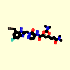 CN(C)C(=O)/C=C/CC[C@H](OC(=O)N(C)C)C(=O)Nc1ccnn(Cc2nc3cc(F)cc(CC(C)(C)C)c3[nH]2)c1=O